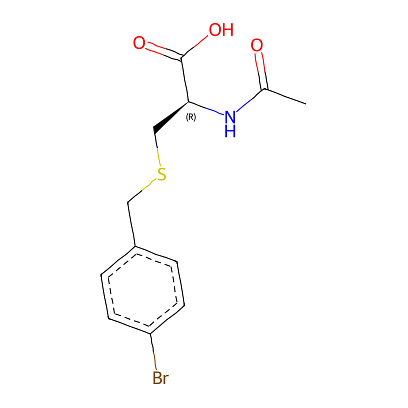 CC(=O)N[C@@H](CSCc1ccc(Br)cc1)C(=O)O